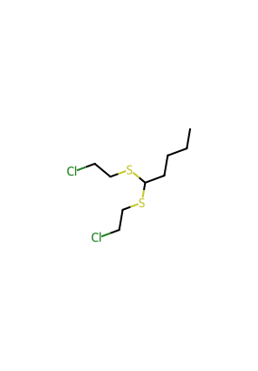 CCCCC(SCCCl)SCCCl